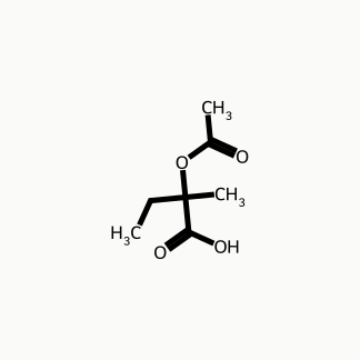 CCC(C)(OC(C)=O)C(=O)O